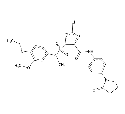 CCOc1ccc(N(C)S(=O)(=O)c2cc(Cl)sc2C(=O)Nc2ccc(N3CCCC3=O)cc2)cc1OC